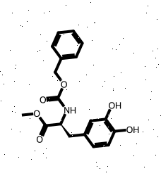 COC(=O)[C@H](Cc1ccc(O)c(O)c1)NC(=O)OCc1ccccc1